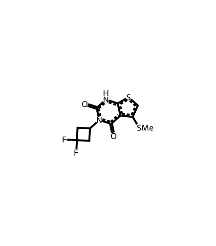 CSc1csc2[nH]c(=O)n(C3CC(F)(F)C3)c(=O)c12